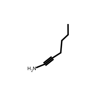 CCCCC#CN